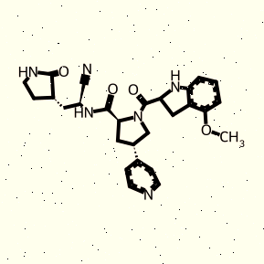 COc1cccc2c1CC(C(=O)N1C[C@H](c3ccncc3)C[C@H]1C(=O)N[C@H](C#N)C[C@@H]1CCNC1=O)N2